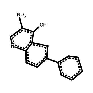 O=[N+]([O-])c1cnc2ccc(-c3ccccc3)cc2c1O